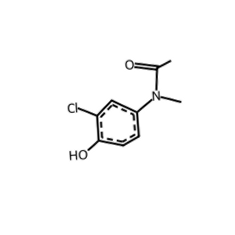 CC(=O)N(C)c1ccc(O)c(Cl)c1